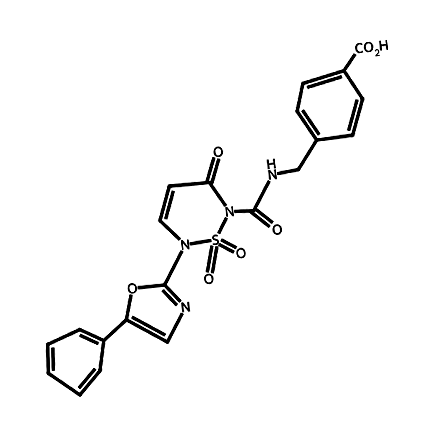 O=C(O)c1ccc(CNC(=O)N2C(=O)C=CN(c3ncc(-c4ccccc4)o3)S2(=O)=O)cc1